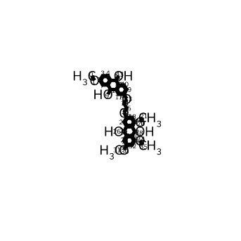 COc1ccc2c(c1)C(O)c1cc(OCCOc3cc(OC)c4c(c3)C(O)c3cc(OC)cc(OC)c3C4O)ccc1C2O